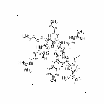 CC[C@H](C)[C@H](NC(=O)[C@@H](N)C(C)C)C(=O)N[C@@H](Cc1ccc(O)cc1)C(=O)N[C@@H](CCCNC(=N)N)C(=O)N[C@@H](CCCCN)C(=O)N[C@@H](CCCCN)C(=O)N[C@@H](CCCNC(=N)N)C(=O)O